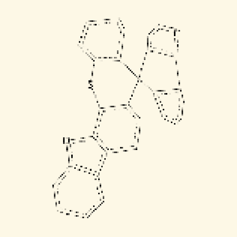 c1ccc2c(c1)Sc1c(ccc3c1oc1ccccc13)C21c2ccccc2-c2ccccc21